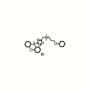 CC1(c2nc(C[N+](C)(C)CCCOc3ccccc3)no2)c2ccccc2Oc2ccccc21.[Br-]